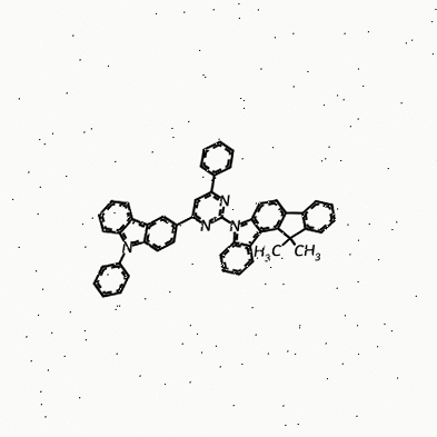 CC1(C)c2ccccc2-c2ccc3c(c21)c1ccccc1n3-c1nc(-c2ccccc2)cc(-c2ccc3c(c2)c2ccccc2n3-c2ccccc2)n1